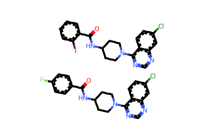 O=C(NC1CCN(c2ncnc3cc(Cl)ccc23)CC1)c1ccc(F)cc1.O=C(NC1CCN(c2ncnc3cc(Cl)ccc23)CC1)c1ccccc1I